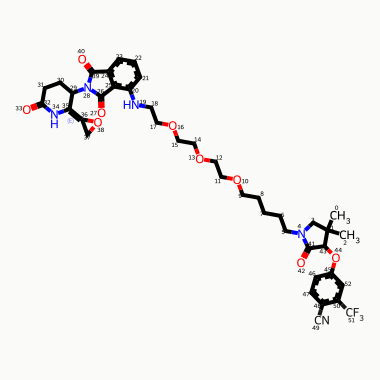 CC1(C)CN(CCCCCOCCOCCOCCNc2cccc3c2C(=O)N(C2CCC(=O)N/C2=C2\CO2)C3=O)C(=O)C1Oc1ccc(C#N)c(C(F)(F)F)c1